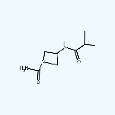 CC(C)C(=O)NC1CN(C(N)=O)C1